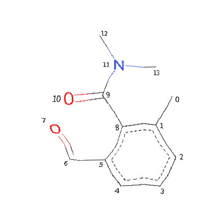 Cc1cccc(C=O)c1C(=O)N(C)C